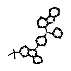 CC(C)(C)c1ccc2c(c1)c1ccccc1n2-c1ccc(N(c2ccccc2)c2cccc3c2oc2ccccc23)cc1